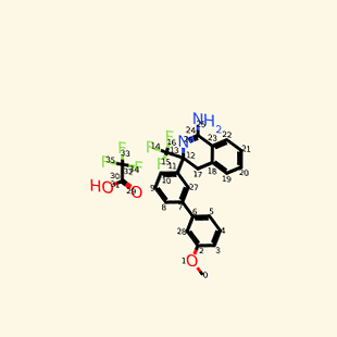 COc1cccc(-c2cccc(C3(C(F)(F)F)Cc4ccccc4C(N)=N3)c2)c1.O=C(O)C(F)(F)F